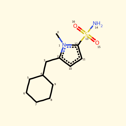 Cn1c(CC2CCCCC2)ccc1S(N)(=O)=O